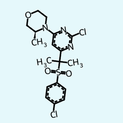 C[C@H]1COCCN1c1cc(C(C)(C)S(=O)(=O)c2ccc(Cl)cc2)nc(Cl)n1